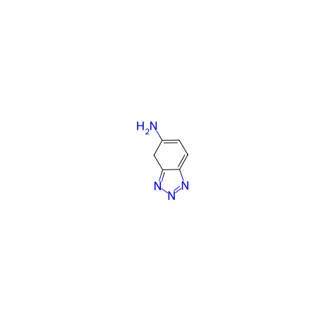 NC1=CC=C2N=NN=C2C1